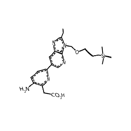 Cc1nc2cc(-c3ccc(N)c(CC(=O)O)n3)cnc2n1COCC[Si](C)(C)C